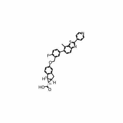 Cc1c(-c2ccc(F)c(COc3ccc4c(c3)C[C@H]3[C@H](C(=O)O)[C@@H]43)c2)ccc2nc(-c3ccncc3)sc12